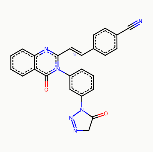 N#Cc1ccc(/C=C/c2nc3ccccc3c(=O)n2-c2cccc(N3N=NCC3=O)c2)cc1